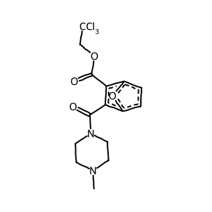 CN1CCN(C(=O)c2c(C(=O)OCC(Cl)(Cl)Cl)c3ccc2o3)CC1